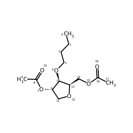 CCCCO[C@@H]1[C@@H](OC(C)=O)CO[C@@H]1COC(C)=O